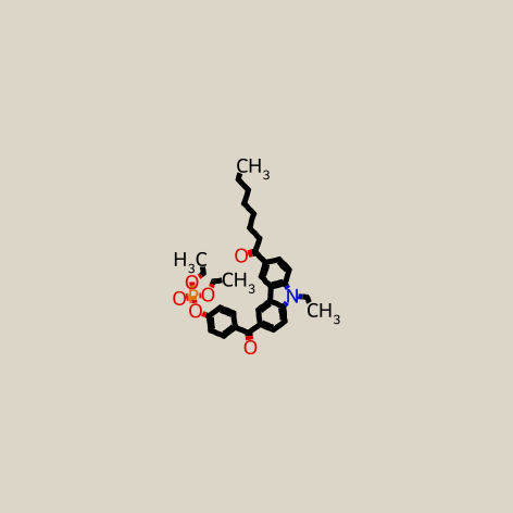 CCCCCCCC(=O)c1ccc2c(c1)c1cc(C(=O)c3ccc(OP(=O)(OCC)OCC)cc3)ccc1n2CC